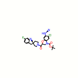 CC(C)(C)OC(=O)N1CC(C(=O)N2CCC(C#N)(Cc3ccc(F)cc3)CC2)Oc2cc(NC#N)c(Cl)cc21